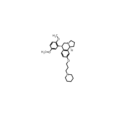 COc1ccc(OC)c([C@H]2CN3CCC[C@H]3c3cc(OCCCN4CCCCC4)ccc32)c1